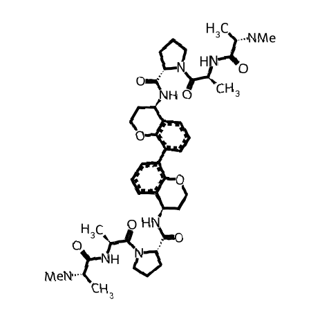 CN[C@@H](C)C(=O)N[C@@H](C)C(=O)N1CCC[C@H]1C(=O)N[C@@H]1CCOc2c(-c3cccc4c3OCC[C@H]4NC(=O)[C@@H]3CCCN3C(=O)[C@H](C)NC(=O)[C@H](C)NC)cccc21